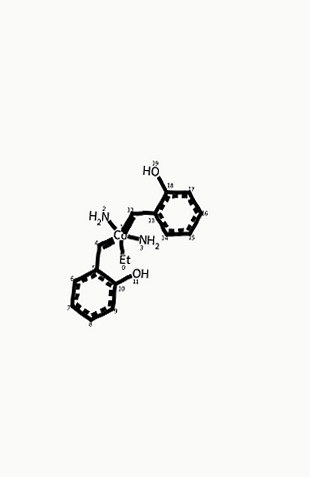 [CH2][CH2][Co]([NH2])([NH2])(=[CH]c1ccccc1O)=[CH]c1ccccc1O